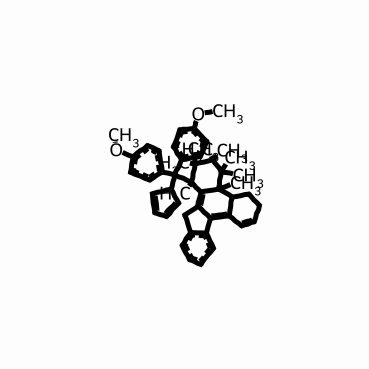 COc1ccc(C(c2ccc(OC)cc2)(C2C=CC=C2)C2(C)C3=C4Cc5ccccc5C4=C4C=CCCC4C3(C)C(C)(C)C(C)(C)C2(C)C)cc1